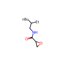 CCCCC(CC)CNC(=O)C1CO1